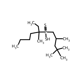 CCCCC(C)(CC)P(=S)(S)CC(C)CC(C)(C)C